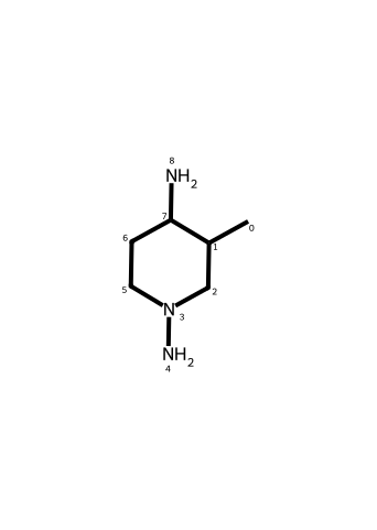 CC1CN(N)CCC1N